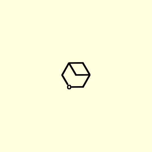 C1OCC2CC1C2